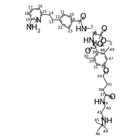 COC(=O)[C@@H](CNC(=O)c1ccc(CCc2cccc(N)n2)cc1)NS(=O)(=O)c1c(C)cc(OCCCC(=O)NCCNC(C)(C)C)cc1C